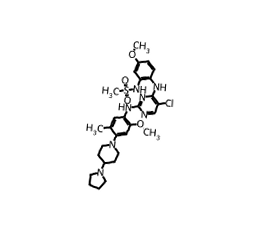 COc1ccc(Nc2nc(Nc3cc(C)c(N4CCC(N5CCCC5)CC4)cc3OC)ncc2Cl)c(NS(C)(=O)=O)c1